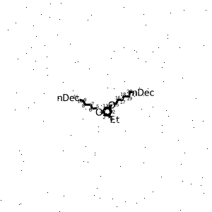 [CH2]Cc1cc(OCCCCCCCCCCCCCCCC)cc(OCCCCCCCCCCCCCCCC)c1